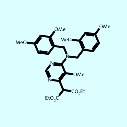 CCOC(=O)C(C(=O)OCC)c1ncnc(N(Cc2ccc(OC)cc2OC)Cc2ccc(OC)cc2OC)c1OC